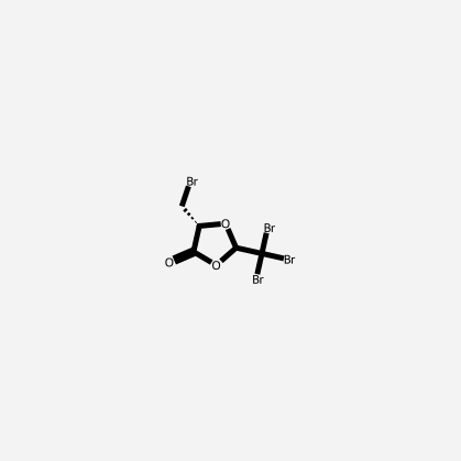 O=C1OC(C(Br)(Br)Br)O[C@H]1CBr